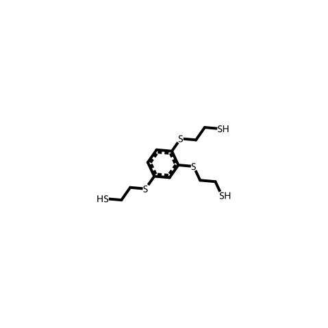 SCCSc1ccc(SCCS)c(SCCS)c1